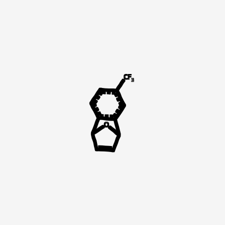 FC(F)(F)c1ccc2c(c1)C1C=CC2O1